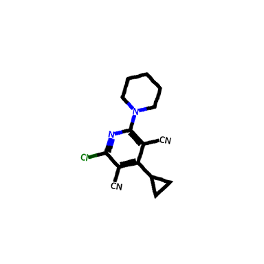 N#Cc1c(Cl)nc(N2CCCCC2)c(C#N)c1C1CC1